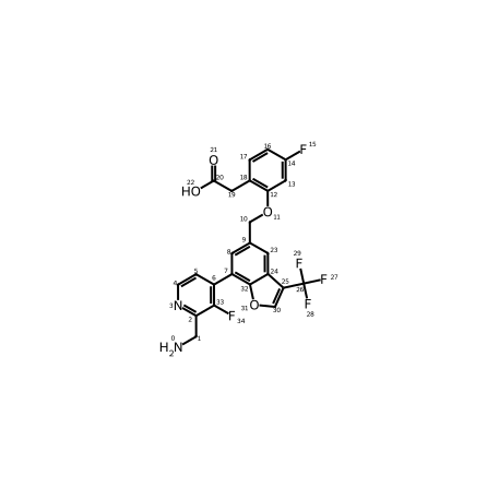 NCc1nccc(-c2cc(COc3cc(F)ccc3CC(=O)O)cc3c(C(F)(F)F)coc23)c1F